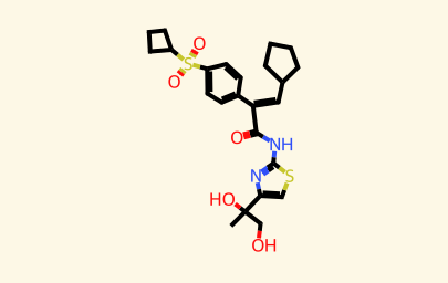 CC(O)(CO)c1csc(NC(=O)/C(=C/C2CCCC2)c2ccc(S(=O)(=O)C3CCC3)cc2)n1